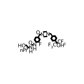 CCC[C@@H](CO)NC(=O)Nc1ccc(C(=O)N2CCN(Cc3ccc(C(O)(C(F)(F)F)C(F)(F)F)cc3)CC2)cc1F